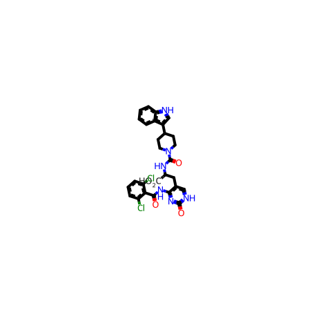 O=C(Nc1nc(=O)[nH]cc1CC(NC(=O)N1CCC(c2c[nH]c3ccccc23)CC1)C(=O)O)c1c(Cl)cccc1Cl